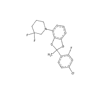 CC1(c2ccc(Cl)cc2F)Oc2cccc(N3CCCC(F)(F)C3)c2O1